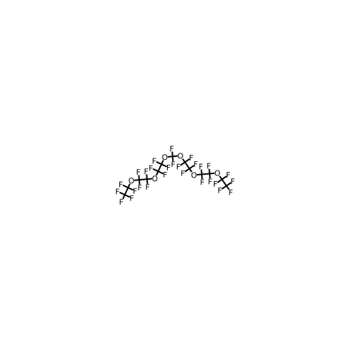 FC(F)(OC(F)(F)C(F)(F)OC(F)(F)C(F)(F)OC(F)(F)C(F)(F)F)OC(F)(F)C(F)(F)OC(F)(F)C(F)(F)OC(F)(F)C(F)(F)F